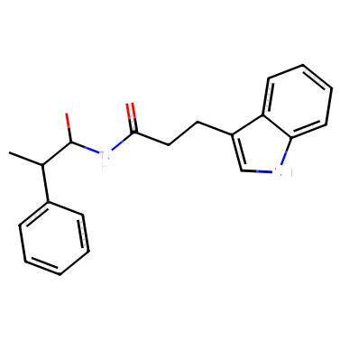 CC(c1ccccc1)C(O)NC(=O)CCc1c[nH]c2ccccc12